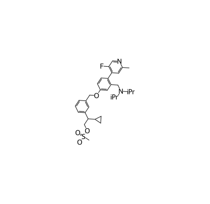 Cc1cc(-c2ccc(OCc3cccc(C(COS(C)(=O)=O)C4CC4)c3)cc2CN(C(C)C)C(C)C)c(F)cn1